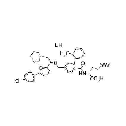 CSCCC(NC(=O)c1ccc(COC(CC2CCCCC2)c2ccc(-c3ccc(Cl)cc3)o2)cc1-c1ccccc1C)C(=O)O.[LiH]